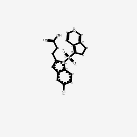 O=C(O)CCc1cc2cc(Cl)ccc2n1S(=O)(=O)C1=C2C=COC=C2CC1